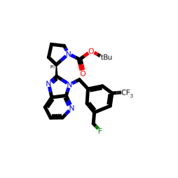 CC(C)(C)OC(=O)N1CCC[C@@H]1c1nc2cccnc2n1Cc1cc(CF)cc(C(F)(F)F)c1